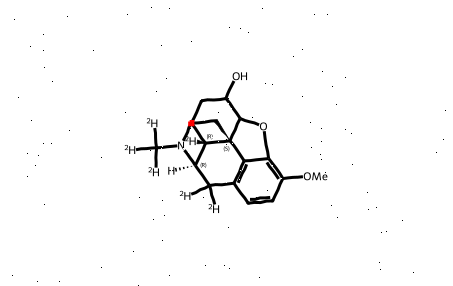 [2H]C1([2H])c2ccc(OC)c3c2[C@]24CCN(C([2H])([2H])[2H])[C@H]1[C@]2([2H])CCC(O)C4O3